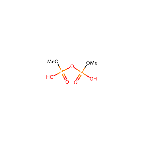 COP(=O)(O)OP(=O)(O)OC